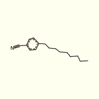 CCCCCCCCCc1ccc(C#N)cc1